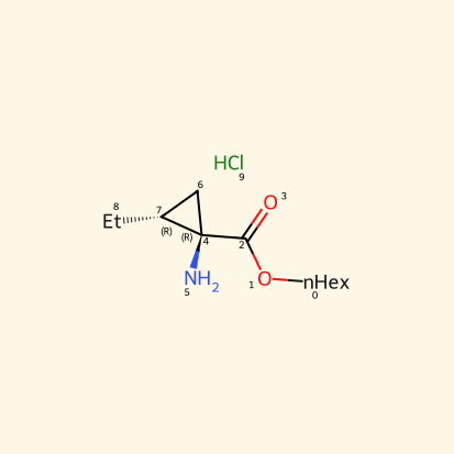 CCCCCCOC(=O)[C@@]1(N)C[C@H]1CC.Cl